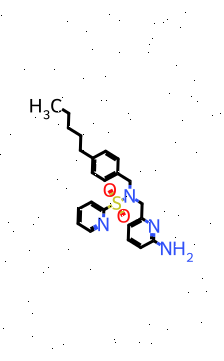 CCCCCc1ccc(CN(Cc2cccc(N)n2)S(=O)(=O)c2ccccn2)cc1